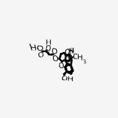 CN1CCC23c4c5ccc(CO)c4OC2C(OC(=O)C[C@H](O)C(=O)O)=CC[C@@]3(O)[C@H]1C5